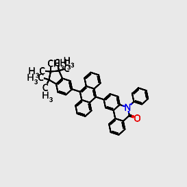 CC1(C)c2ccc(-c3c4ccccc4c(-c4ccc5c(c4)c4ccccc4c(=O)n5-c4ccccc4)c4ccccc34)cc2C(C)(C)C1(C)C